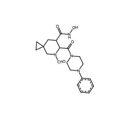 O=CN1CC2(CC2)CC(C(=O)NO)C1C(=O)N1CCN(c2ccccc2)CC1